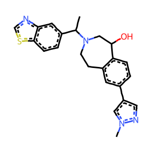 CC(c1ccc2scnc2c1)N1CCc2cc(-c3cnn(C)c3)ccc2C(O)C1